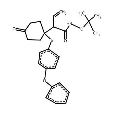 C=CC(C(=O)NOC(C)(C)C)C1(Sc2ccc(Oc3ccccc3)cc2)CCC(=O)CC1